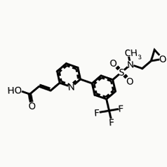 CN(CC1CO1)S(=O)(=O)c1cc(-c2cccc(C=CC(=O)O)n2)cc(C(F)(F)F)c1